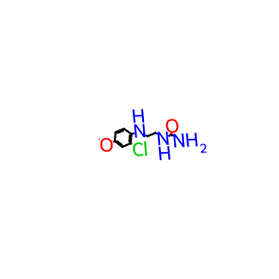 COc1ccc(NCCNC(N)=O)c(Cl)c1